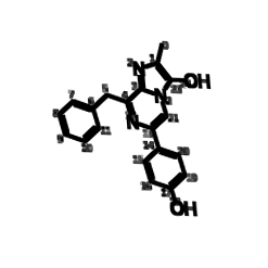 Cc1nc2c(Cc3ccccc3)nc(-c3ccc(O)cc3)cn2c1O